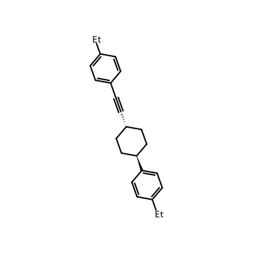 CCc1ccc(C#C[C@H]2CC[C@H](c3ccc(CC)cc3)CC2)cc1